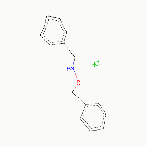 Cl.c1ccc(CNOCc2ccccc2)cc1